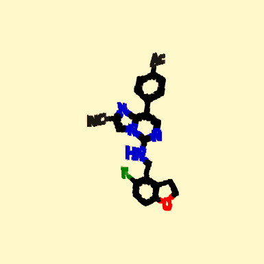 CC(=O)c1ccc(-c2cnc(NCc3c(F)ccc4c3CCO4)n3cc(C#N)nc23)cc1